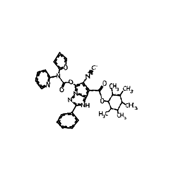 [C-]#[N+]c1c(C(=O)OC2C(C)C(C)C(C)C(C)C2C)c2[nH]c(-c3ccccc3)nn2c1OC(=O)N(c1ccccn1)c1ccco1